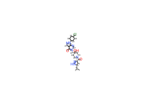 O=C(c1cc(C2CC2)[nH]n1)N1CCC(O)(Cn2cnc3c(cnn3-c3ccc(Cl)cc3)c2=O)CC1